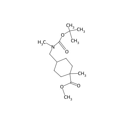 COC(=O)C1(C)CCC(CN(C)C(=O)OC(C)(C)C)CC1